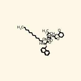 CCCCCCCCCCCC(=O)N[C@@H](Cc1cccc2ccccc12)C(=O)N[C@@H](CC(C)C)C(=O)N[C@H](C=O)C[C@@H]1CCCCC1=O